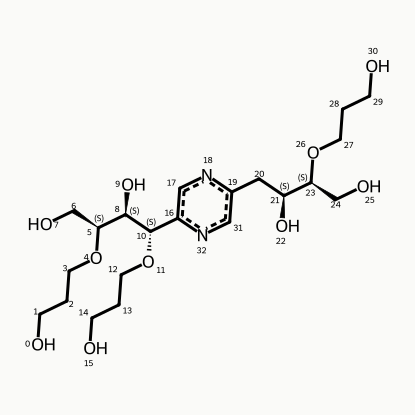 OCCCO[C@@H](CO)[C@@H](O)[C@@H](OCCCO)c1cnc(C[C@H](O)[C@H](CO)OCCCO)cn1